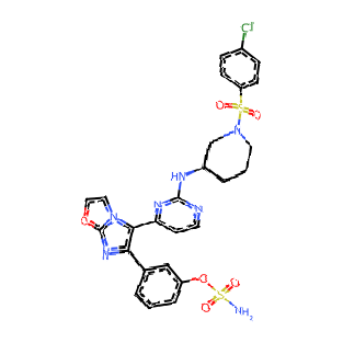 NS(=O)(=O)Oc1cccc(-c2nc3occn3c2-c2ccnc(N[C@@H]3CCCN(S(=O)(=O)c4ccc(Cl)cc4)C3)n2)c1